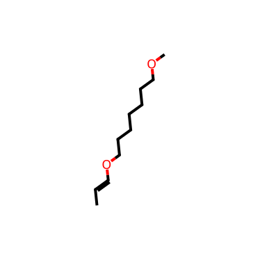 C/C=C/OCCCCCCCOC